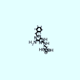 Nc1nc(Cc2ccccc2)nc2[nH]c(NCCP(=O)(O)O)nc12